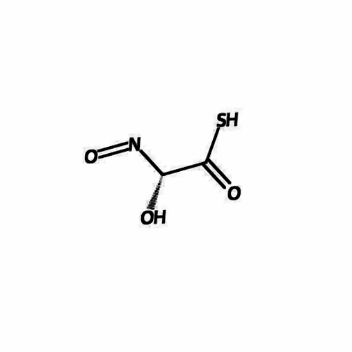 O=N[C@@H](O)C(=O)S